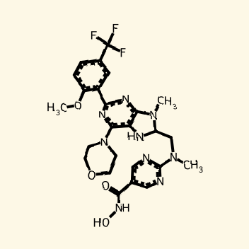 COc1ccc(C(F)(F)F)cc1-c1nc(N2CCOCC2)c2c(n1)N(C)C(CN(C)c1ncc(C(=O)NO)cn1)N2